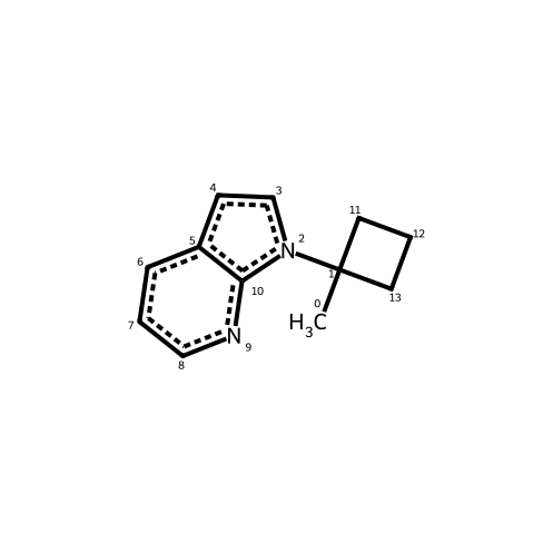 CC1(n2ccc3cccnc32)CCC1